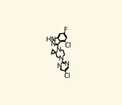 Fc1cc(Cl)c2c(N3CCN(c4ncc(Cl)cn4)CC34CC4)n[nH]c2c1